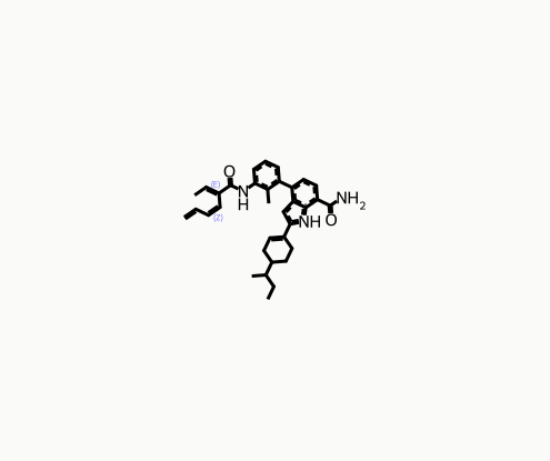 C=C/C=C\C(=C/C)C(=O)Nc1cccc(-c2ccc(C(N)=O)c3[nH]c(C4=CCC(C(C)CC)CC4)cc23)c1C